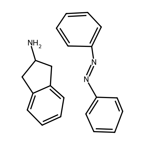 NC1Cc2ccccc2C1.c1ccc(N=Nc2ccccc2)cc1